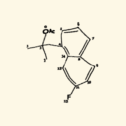 CC(=O)OC(C)(C)c1cccc2ccc(F)cc12